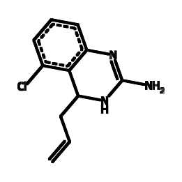 C=CCC1NC(N)=Nc2cccc(Cl)c21